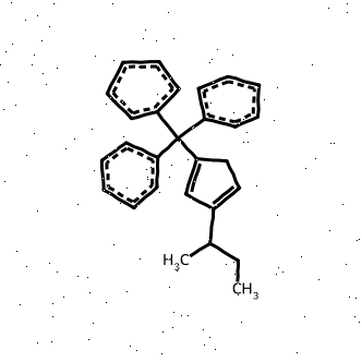 CCC(C)C1=CCC(C(c2ccccc2)(c2ccccc2)c2ccccc2)=C1